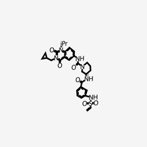 C=CS(=O)(=O)Nc1cccc(C(=O)N[C@@H]2CCCN(C(=O)Nc3ccc4c(c3)c(=O)n(CC3CC3)c(=O)n4C(C)C)C2)c1